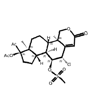 CC(=O)O[C@]1(C(C)=O)CC[C@H]2[C@@H]3[C@H](OS(C)(=O)=O)[C@@H](Cl)C4=CC(=O)OC[C@]4(C)[C@H]3CC[C@@]21C